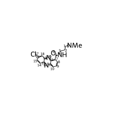 CNCCCNC(=O)c1cccc2nc3ccc(Cl)cc3nc12